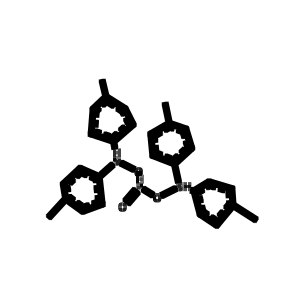 Cc1ccc([SiH](O[PH](=O)O[SiH](c2ccc(C)cc2)c2ccc(C)cc2)c2ccc(C)cc2)cc1